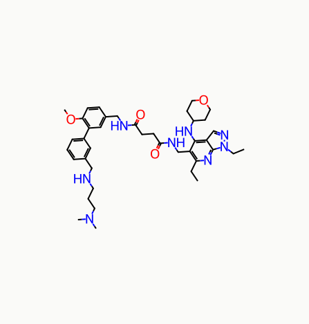 CCc1nc2c(cnn2CC)c(NC2CCOCC2)c1CNC(=O)CCC(=O)NCc1ccc(OC)c(-c2cccc(CNCCCN(C)C)c2)c1